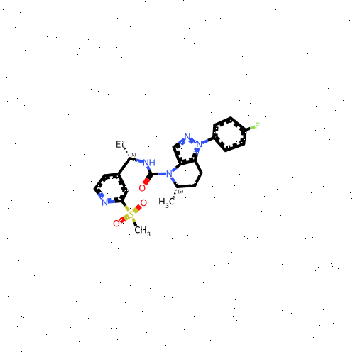 CC[C@H](NC(=O)N1c2cnn(-c3ccc(F)cc3)c2CC[C@@H]1C)c1ccnc(S(C)(=O)=O)c1